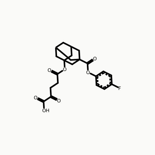 O=C(CCC(=O)C(=O)O)OC12CC3CC(C1)CC(C(=O)Oc1ccc(F)cc1)(C3)C2